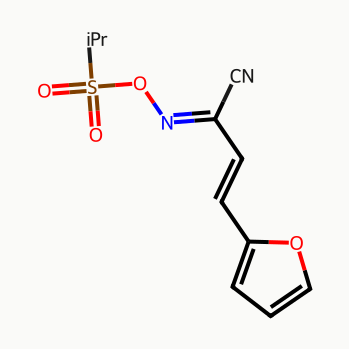 CC(C)S(=O)(=O)ON=C(C#N)C=Cc1ccco1